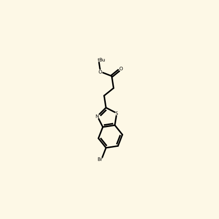 CC(C)(C)OC(=O)CCc1nc2cc(Br)ccc2s1